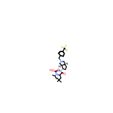 CC(C)N(C(=O)O)C(CC(C)(C)C)C(=O)N[C@H]1CC[C@@H]2CN(Cc3ccc(C(F)(F)F)cc3)C[C@@H]21